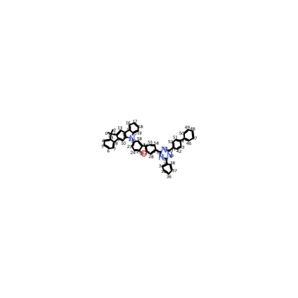 CC1(C)c2ccccc2-c2cc3c(cc21)c1ccccc1n3-c1ccc2oc3cc(-c4nc(-c5ccccc5)nc(-c5ccc(-c6ccccc6)cc5)n4)ccc3c2c1